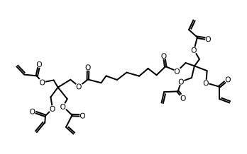 C=CC(=O)OCC(COC(=O)C=C)(COC(=O)C=C)COC(=O)CCCCCCCC(=O)OCC(COC(=O)C=C)(COC(=O)C=C)COC(=O)C=C